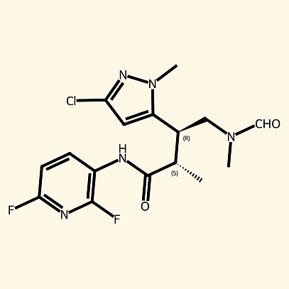 C[C@H](C(=O)Nc1ccc(F)nc1F)[C@H](CN(C)C=O)c1cc(Cl)nn1C